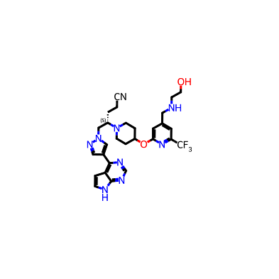 N#CCC[C@@H](Cn1cc(-c2ncnc3[nH]ccc23)cn1)N1CCC(Oc2cc(CNCCO)cc(C(F)(F)F)n2)CC1